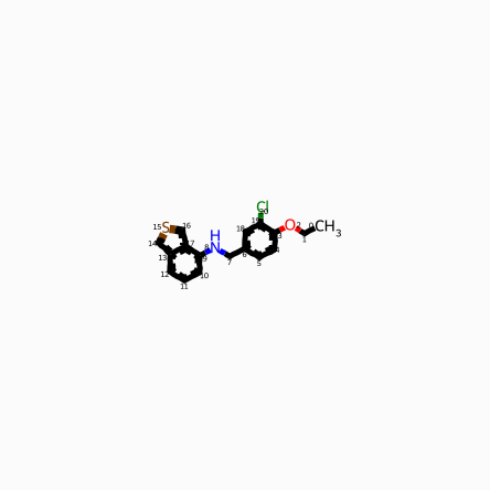 CCOc1ccc(CNc2cccc3cscc23)cc1Cl